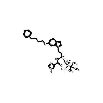 CC(C)(C)[Si](C)(C)OC[C@@H](CCn1ccc2ccc(OCCCCc3ccccc3)cc21)NC(=O)c1c[nH]cn1